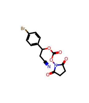 N#CCC(OC(=O)ON1C(=O)CCC1=O)c1ccc(Br)cc1